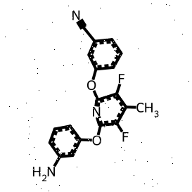 Cc1c(F)c(Oc2cccc(N)c2)nc(Oc2cccc(C#N)c2)c1F